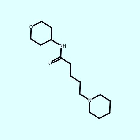 O=C(CCCCN1CCCCC1)NC1CCOCC1